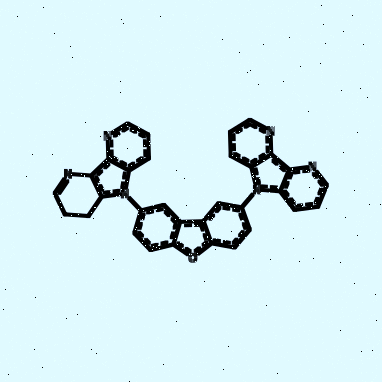 C1=Nc2c(n(-c3ccc4oc5ccc(-n6c7cccnc7c7ncccc76)cc5c4c3)c3cccnc23)CC1